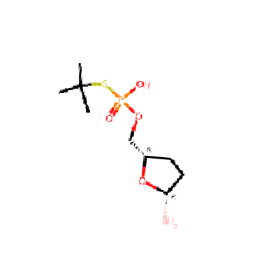 B[C@H]1CC[C@@H](COP(=O)(O)SC(C)(C)C)O1